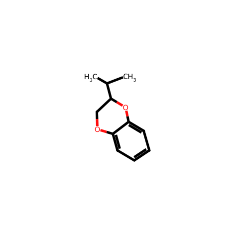 CC(C)C1COc2ccccc2O1